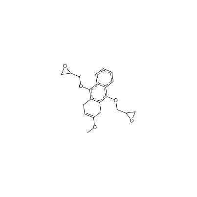 COC1=CCc2c(c(OCC3CO3)c3ccccc3c2OCC2CO2)C1